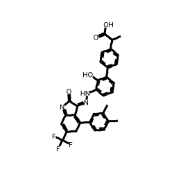 Cc1ccc(C2=C3C(=NC(=O)C3=NNc3cccc(-c4ccc(C(C)C(=O)O)cc4)c3O)C=C(C(F)(F)F)C2)cc1C